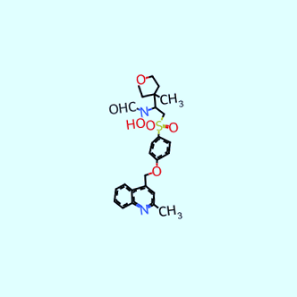 Cc1cc(COc2ccc(S(=O)(=O)CC(N(O)C=O)C3(C)CCOCC3)cc2)c2ccccc2n1